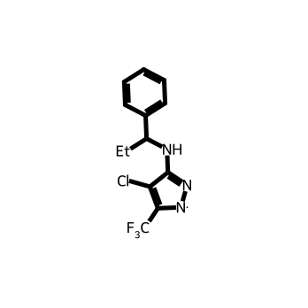 CCC(NC1=N[N]C(C(F)(F)F)=C1Cl)c1ccccc1